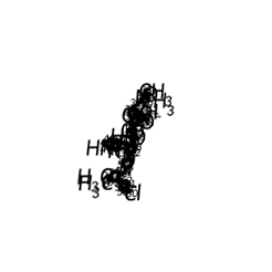 CC1(C)CCC(CN2CCN(c3ccc(C(=O)NS(=O)(=O)c4cc5c(c([N+](=O)[O-])c4)N[C@@H](CCN=S(C)(C)=O)CO5)c(Oc4cnc5[nH]ccc5c4)c3)CC2)=C(c2ccc(Cl)cc2)C1